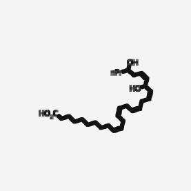 CCCC(O)C/C=C\C(O)/C=C\C/C=C\C/C=C\C/C=C\CCCCCCCCC(=O)O